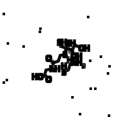 Cl.NCCS.O=C(O)CNC(=O)CCS[C@@](S)(CS)[C@H](O)CO